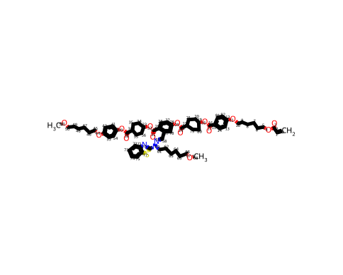 C=CC(=O)OCCCCCCOc1ccc(C(=O)OC2CCC(C(=O)Oc3ccc(C(=O)OC4CCC(C(=O)Oc5ccc(OCCCCCCOC)cc5)CC4)c(/C=N/N(CCCCCCOC)c4nc5ccccc5s4)c3)CC2)cc1